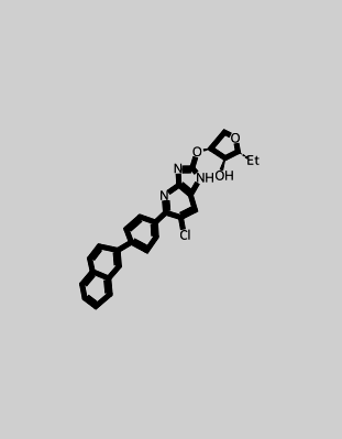 CC[C@H]1OC[C@@H](Oc2nc3nc(-c4ccc(-c5ccc6ccccc6c5)cc4)c(Cl)cc3[nH]2)[C@@H]1O